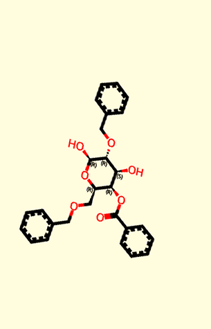 O=C(O[C@@H]1[C@H](O)[C@@H](OCc2ccccc2)[C@H](O)O[C@@H]1COCc1ccccc1)c1ccccc1